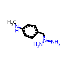 CNc1ccc(CN(N)N)cc1